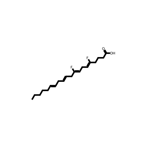 CCCCCC=CCC=CCC(F)=CCC=C(F)CCCC(=O)O